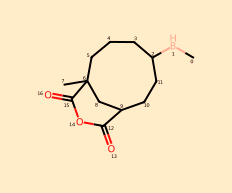 CBC1CCCC2(C)CC(CC1)C(=O)OC2=O